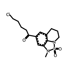 CN1c2cc(C(=O)CCCCCl)cc3c2N(CCC3)S1(=O)=O